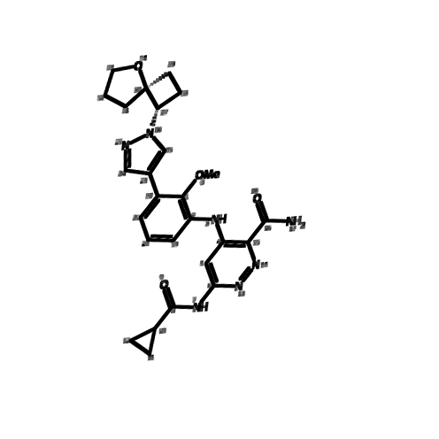 COc1c(Nc2cc(NC(=O)C3CC3)nnc2C(N)=O)cccc1-c1cnn([C@H]2CC[C@@]23CCCO3)c1